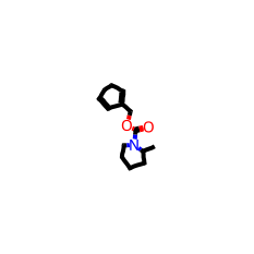 CC1CCCCN1C(=O)OCC1=CCCC=C1